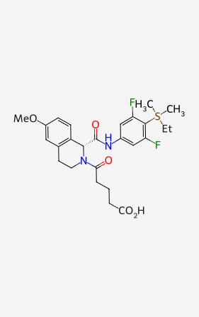 CCS(C)(C)c1c(F)cc(NC(=O)[C@H]2c3ccc(OC)cc3CCN2C(=O)CCCC(=O)O)cc1F